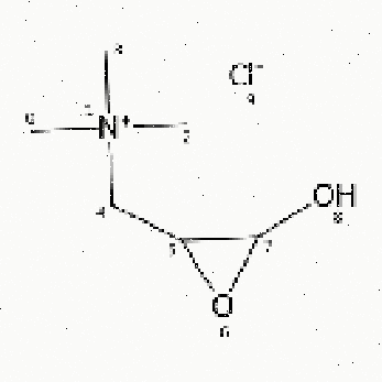 C[N+](C)(C)CC1OC1O.[Cl-]